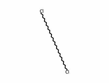 ClCCCCCCCCCCCCCCCCCCCCCCCCCCCCCCCl